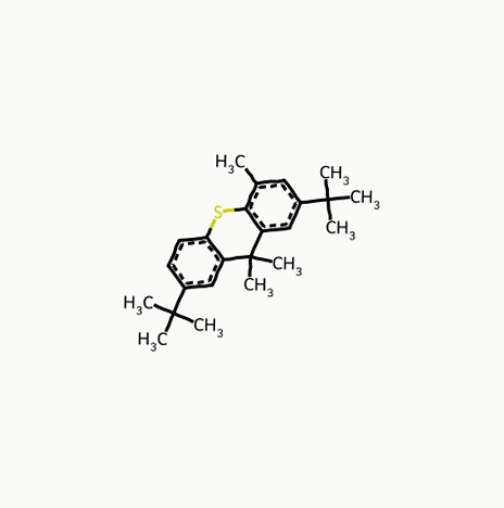 Cc1cc(C(C)(C)C)cc2c1Sc1ccc(C(C)(C)C)cc1C2(C)C